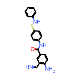 N=Cc1cc(C(=O)Nc2ccc(SNc3ccccc3)cc2)ccc1N